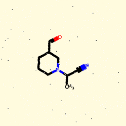 CC(C#N)N1CCCC(C=O)C1